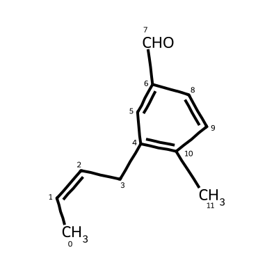 C/C=C\Cc1cc(C=O)ccc1C